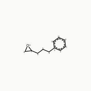 c1ccc(CCCC2CO2)cc1